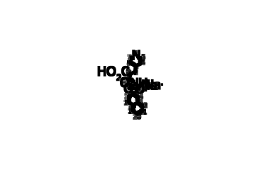 O=C(O)C(Cc1ccncc1)C(=O)NS(=O)(=O)c1ccc2ccccc2c1.[Na].[Na]